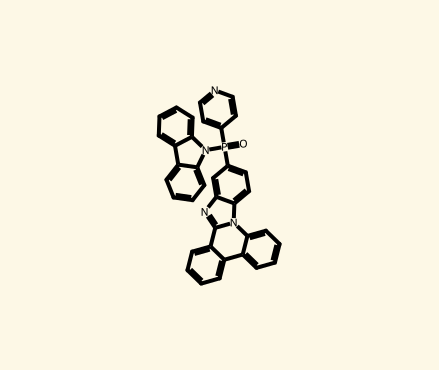 O=P(c1ccncc1)(c1ccc2c(c1)nc1c3ccccc3c3ccccc3n21)n1c2ccccc2c2ccccc21